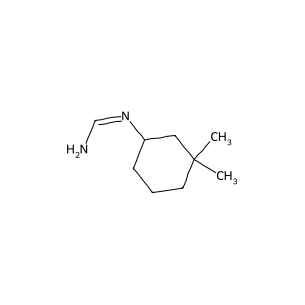 CC1(C)CCCC(/N=C\N)C1